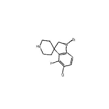 CCN1CC2(CCNCC2)c2c1ccc(Cl)c2F